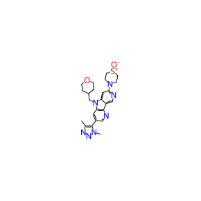 Cc1nnn(C)c1-c1cnc2c3cnc(N4CC[S+]([O-])CC4)cc3n(CC3CCOCC3)c2c1